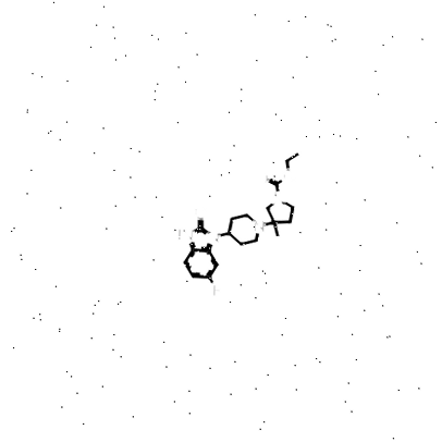 CCOC(=O)N1CCC(C)(N2CCC(n3c(=O)[nH]c4ccc(F)cc43)CC2)C1